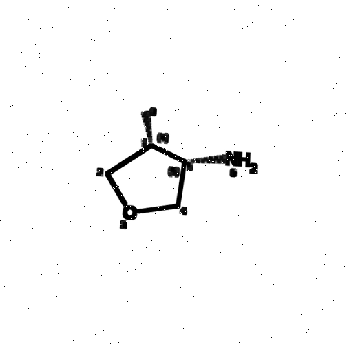 C[C@H]1COC[C@H]1N